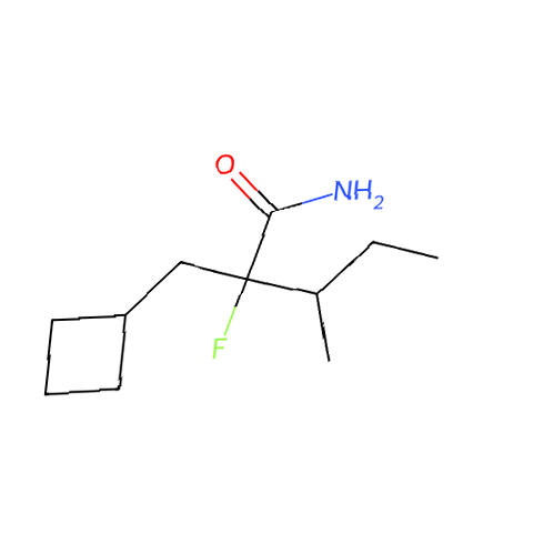 CCC(C)C(F)(CC1CCC1)C(N)=O